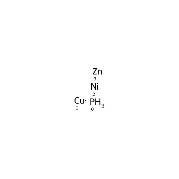 P.[Cu].[Ni].[Zn]